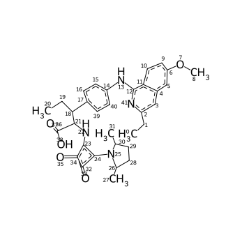 CCc1cc2cc(OC)ccc2c(Nc2ccc(C(CC)C(Nc3c(N4C(C)CCC4C)c(=O)c3=O)C(=O)O)cc2)n1